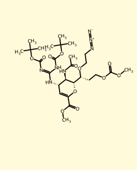 COC(=O)OCC[C@@H](OCCN=[N+]=[N-])[C@@H]1OC(C(=O)OC)=C[C@H](N/C(=N/C(=O)OC(C)(C)C)NC(=O)OC(C)(C)C)[C@H]1NC(C)=O